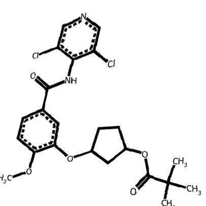 COc1ccc(C(=O)Nc2c(Cl)cncc2Cl)cc1OC1CCC(OC(=O)C(C)(C)C)C1